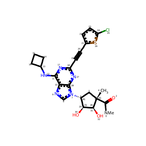 CNC(=O)[C@@]1(C)C[C@@H](n2cnc3c(NC4CCC4)nc(C#Cc4ccc(Cl)s4)nc32)[C@H](O)[C@@H]1O